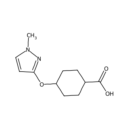 Cn1ccc(OC2CCC(C(=O)O)CC2)n1